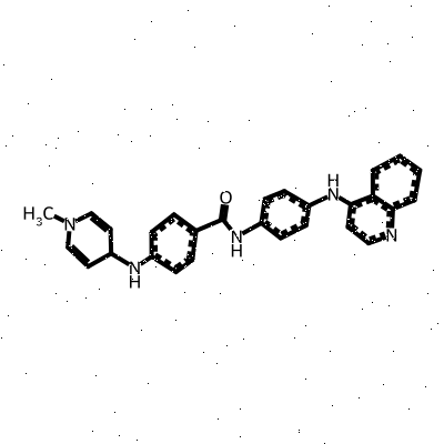 CN1C=CC(Nc2ccc(C(=O)Nc3ccc(Nc4ccnc5ccccc45)cc3)cc2)C=C1